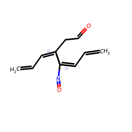 C=C/C=C(CC=O)\C(=C/C=C)N=O